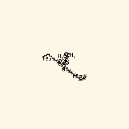 CCCC/C=C\C/C=C\CCCCCCCC(=O)O[C@H](COC(=O)CCCCCCCCCCC/C=C\C/C=C\CCCCC)COP(=O)([O-])OCC[N+](C)(C)C